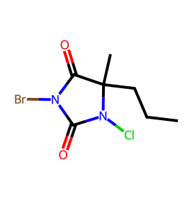 CCCC1(C)C(=O)N(Br)C(=O)N1Cl